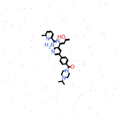 C=C(O)/C=C(\N=C(/N)c1cccc(C)n1)c1cncc(-c2ccc(C(=O)N3CCN(C(C)C)CC3)cc2)c1